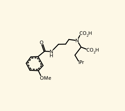 COc1cccc(C(=O)NCCCN(C(=O)O)C(CC(C)C)C(=O)O)c1